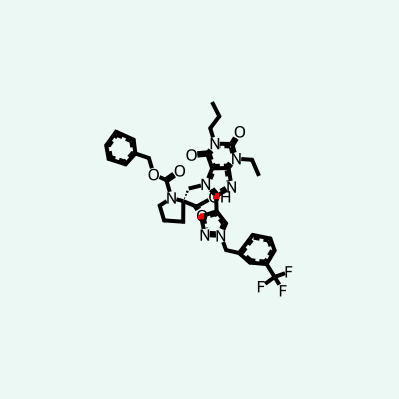 CCCn1c(=O)c2c(nc(-c3cnn(Cc4cccc(C(F)(F)F)c4)c3)n2C[C@]2(C(=O)O)CCCN2C(=O)OCc2ccccc2)n(CC)c1=O